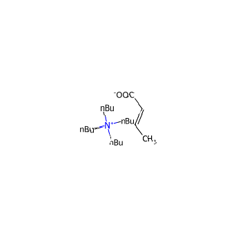 C/C=C/C(=O)[O-].CCCC[N+](CCCC)(CCCC)CCCC